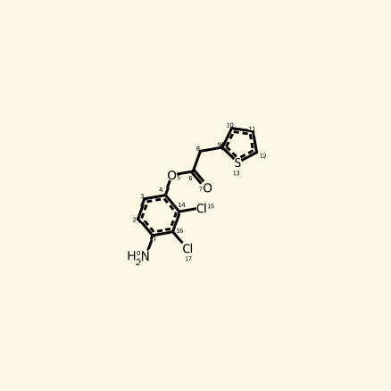 Nc1ccc(OC(=O)Cc2cccs2)c(Cl)c1Cl